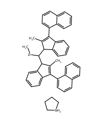 C1CC[SiH2]C1.[CH3][Zr][CH](C1C(C)=C(c2cccc3ccccc23)c2ccccc21)C1C(C)=C(c2cccc3ccccc23)c2ccccc21